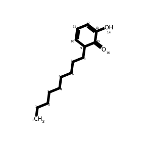 CCCCCCCCCC1C=CC=C(O)C1=O